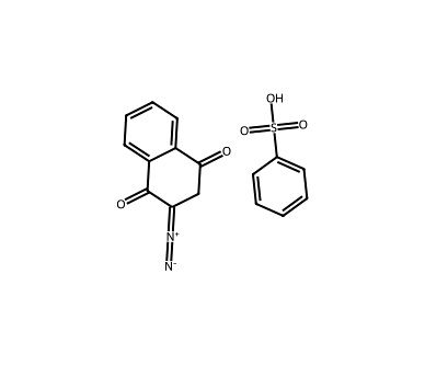 O=S(=O)(O)c1ccccc1.[N-]=[N+]=C1CC(=O)c2ccccc2C1=O